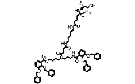 CC(C)(CCO)NC(=O)CCCC(=O)NCCCCCNC(=O)CCC(=O)N(CCCCNC(=O)c1cccc(OCc2ccccc2)c1OCc1ccccc1)CCCNC(=O)c1cccc(OCc2ccccc2)c1OCc1ccccc1